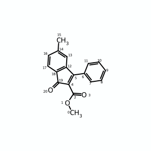 COC(=O)C1=C(c2ccccc2)c2cc(C)ccc2C1=O